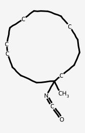 CC1(N=C=O)CCCCCCCCCCCCCCC1